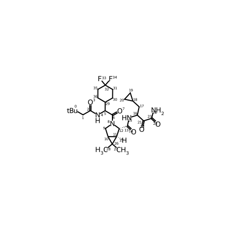 CC(C)(C)CC(=O)NC(C(=O)N1CC2[C@@H]([C@H]1C(=O)NC(CC1CC1)C(=O)C(N)=O)C2(C)C)C1CCC(F)(F)CC1